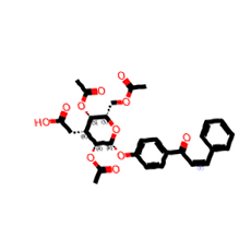 CC(=O)OC[C@@H]1O[C@H](Oc2ccc(C(=O)/C=C\c3ccccc3)cc2)[C@H](OC(C)=O)[C@H](CC(=O)O)[C@@H]1OC(C)=O